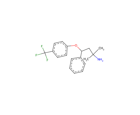 CC(C)(N)CC(Oc1ccc(C(F)(F)F)cc1)c1ccccc1